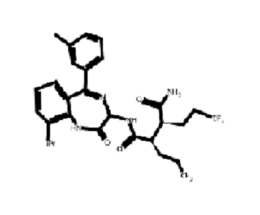 Cc1cccc(C2=NC(NC(=O)[C@H](CCC(F)(F)F)[C@H](CCC(F)(F)F)C(N)=O)C(=O)Nc3c2cccc3C(C)C)c1